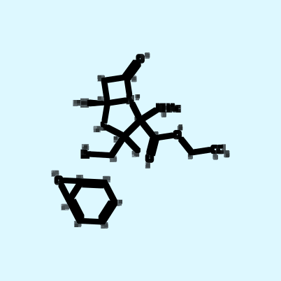 CC(=O)NC1(C(=O)OCC(Cl)(Cl)Cl)N2C(=O)C[C@H]2SC1(C)CBr.c1ccc2c(c1)O2